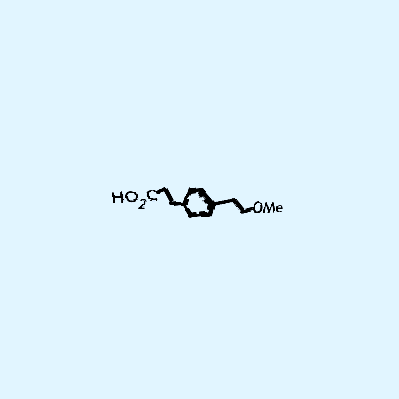 COCCc1ccc(C=CC(=O)O)cc1